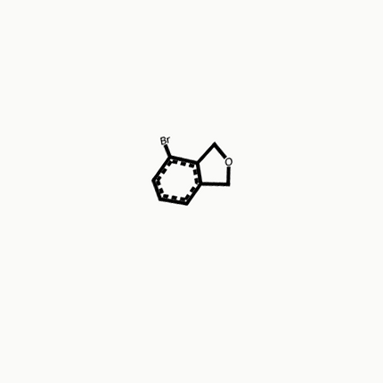 Brc1cccc2c1COC2